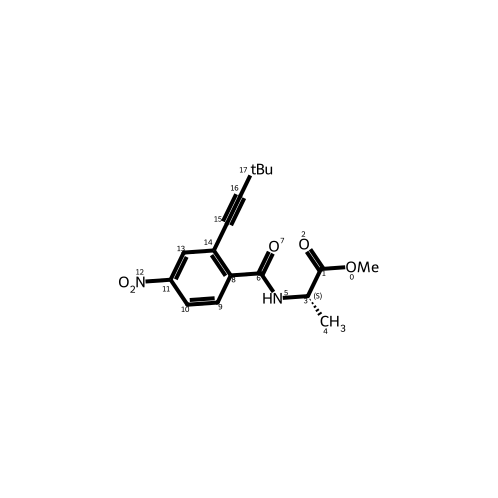 COC(=O)[C@H](C)NC(=O)c1ccc([N+](=O)[O-])cc1C#CC(C)(C)C